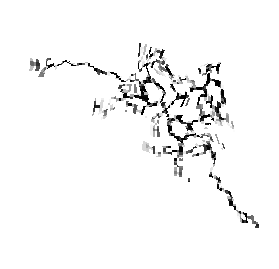 CCCCCCCCOc1c(C(C)(C)C)cc(C(O)(c2cc(C(C)(C)C)c(OCCCCCCCC)c(C(C)(C)C)c2)C(CC)N=Cc2cc(F)ccc2O)cc1C(C)(C)C